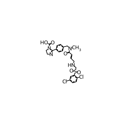 CN(Cc1ccc(C2=NCCN2C(=O)O)cc1)C(=O)C=CCNCS(=O)(=O)c1cc(Cl)ccc1Cl